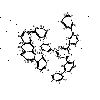 c1ccc(-c2cccc(-c3nc(-c4cccc(-c5ccccc5)c4)nc(-c4cccc(-n5c6ccccc6c6ccc7cc8ccn(-c9ccccc9)c8cc7c65)c4)n3)c2)cc1